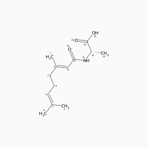 CC(C)=CCCC(C)=CC(=O)N[C@@H](C)C(=O)O